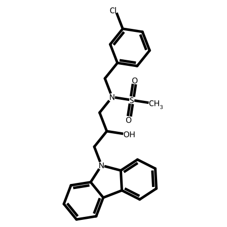 CS(=O)(=O)N(Cc1cccc(Cl)c1)CC(O)Cn1c2ccccc2c2ccccc21